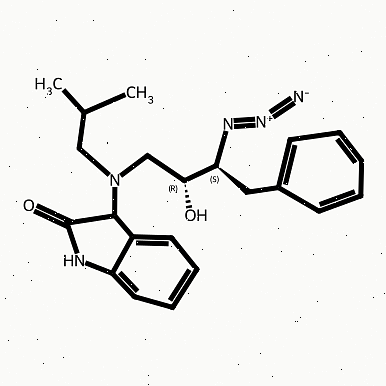 CC(C)CN(C[C@@H](O)[C@H](Cc1ccccc1)N=[N+]=[N-])C1C(=O)Nc2ccccc21